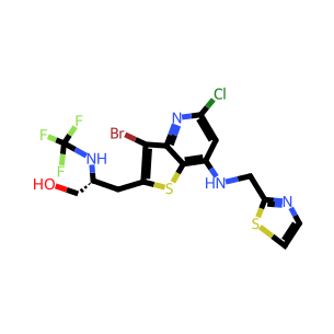 OC[C@@H](Cc1sc2c(NCc3nccs3)cc(Cl)nc2c1Br)NC(F)(F)F